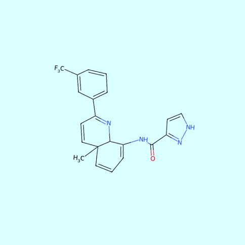 CC12C=CC=C(NC(=O)c3cc[nH]n3)C1N=C(c1cccc(C(F)(F)F)c1)C=C2